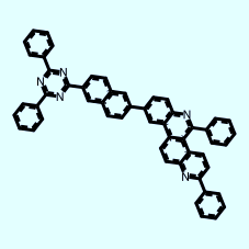 c1ccc(-c2ccc3c(ccc4c5cc(-c6ccc7cc(-c8nc(-c9ccccc9)nc(-c9ccccc9)n8)ccc7c6)ccc5nc(-c5ccccc5)c34)n2)cc1